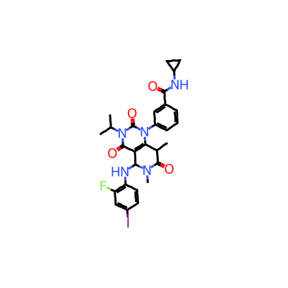 CC1C(=O)N(C)C(Nc2ccc(I)cc2F)c2c1n(-c1cccc(C(=O)NC3CC3)c1)c(=O)n(C(C)C)c2=O